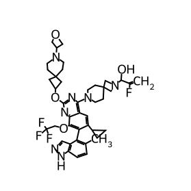 C=C(F)C(O)N1CC2(CCN(c3nc(OC4CC5(CCN(C6COC6)CC5)C4)nc4c(OCC(F)(F)F)c(-c5c(C)ccc6[nH]ncc56)c(C5CC5)cc34)CC2)C1